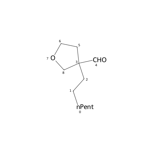 CCCCCCCC1(C=O)CCOC1